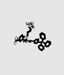 CC1(C)C(/C=C/c2ccc(C(=C(c3ccccc3)c3ccccc3)c3ccccc3)cc2)=[N+](CCCCS(=O)(=O)[O-])c2ccc(C(=O)O)cc21